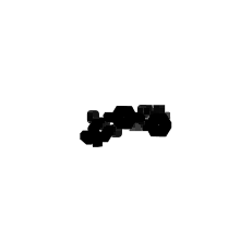 CCC1(C)CC(=O)N(Cc2ccc(C(=O)Nc3ccccc3N)cc2)C(=O)C1